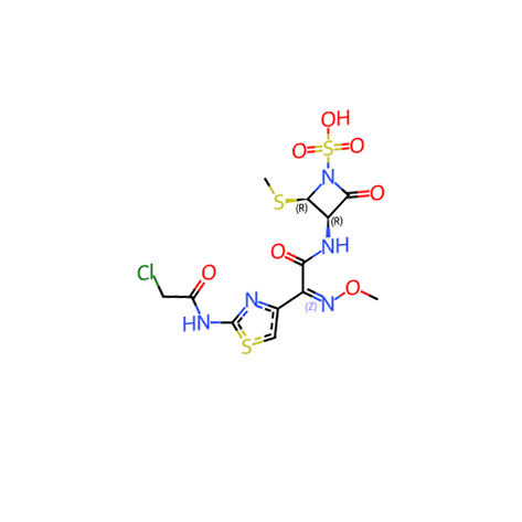 CO/N=C(\C(=O)N[C@@H]1C(=O)N(S(=O)(=O)O)[C@@H]1SC)c1csc(NC(=O)CCl)n1